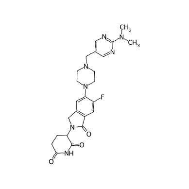 CN(C)c1ncc(CN2CCN(c3cc4c(cc3F)C(=O)N(C3CCC(=O)NC3=O)C4)CC2)cn1